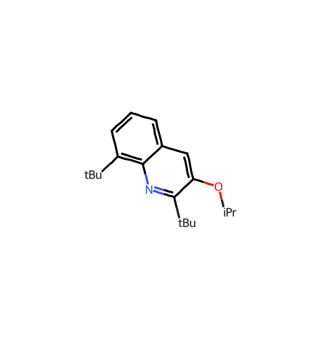 CC(C)Oc1cc2cccc(C(C)(C)C)c2nc1C(C)(C)C